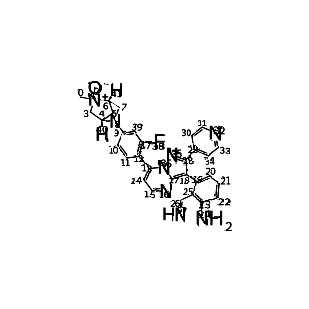 C[N+]1([O-])C[C@@H]2C[C@H]1CN2c1ccc(-c2ccnc3c(-c4cccc(N)c4C=N)c(-c4ccncc4)nn23)c(F)c1